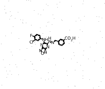 O=C(O)c1cccc(C=NNc2nc3nonc3nc2Nc2ccc(F)c(Cl)c2)c1